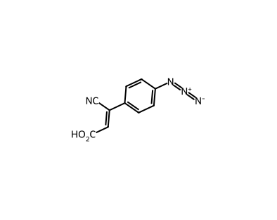 N#CC(=CC(=O)O)c1ccc(N=[N+]=[N-])cc1